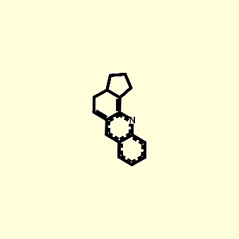 C1=c2cc3ccccc3nc2=C2CCCC2C1